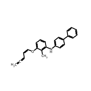 C=C=C/C=C\Oc1cccc(Nc2ccc(-c3ccccc3)cc2)c1C